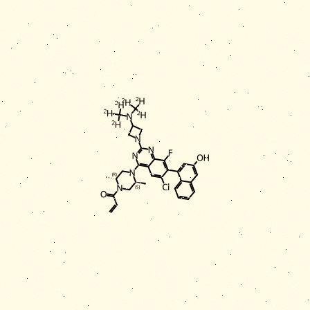 [2H]C([2H])([2H])N(C1CN(c2nc(N3C[C@@H](C)N(C(=O)C=C)C[C@@H]3C)c3cc(Cl)c(-c4cc(O)cc5ccccc45)c(F)c3n2)C1)C([2H])([2H])[2H]